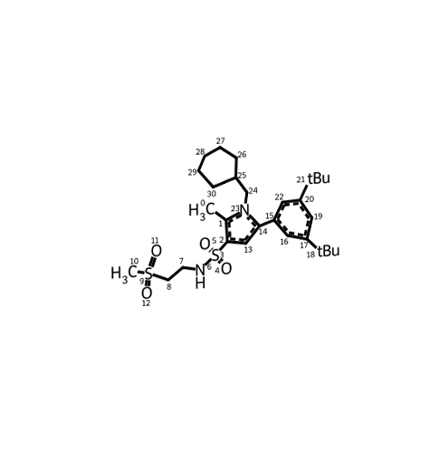 Cc1c(S(=O)(=O)NCCS(C)(=O)=O)cc(-c2cc(C(C)(C)C)cc(C(C)(C)C)c2)n1CC1CCCCC1